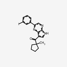 CC1(C(=O)c2c[nH]c3ncc(-c4cccc(I)c4)nc23)CCCC1